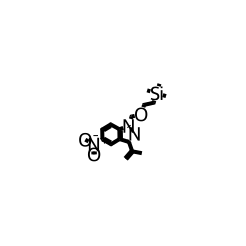 C=C(C)c1nn(COCC[Si](C)(C)C)c2ccc([N+](=O)[O-])cc12